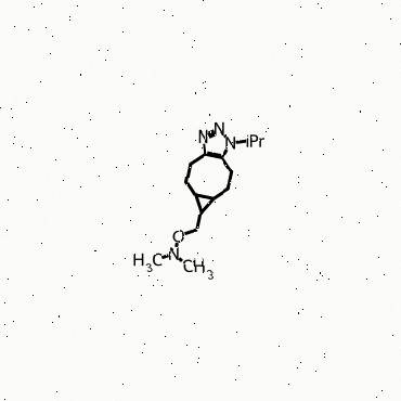 CC(C)n1nnc2c1CCC1C(CC2)C1CON(C)C